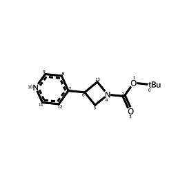 CC(C)(C)OC(=O)N1CC(c2ccncc2)C1